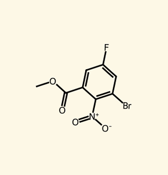 COC(=O)c1cc(F)cc(Br)c1[N+](=O)[O-]